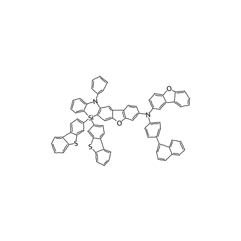 c1ccc(N2c3ccccc3[Si](c3ccc4c(c3)sc3ccccc34)(c3ccc4c(c3)sc3ccccc34)c3cc4oc5cc(N(c6ccc(-c7cccc8ccccc78)cc6)c6ccc7oc8ccccc8c7c6)ccc5c4cc32)cc1